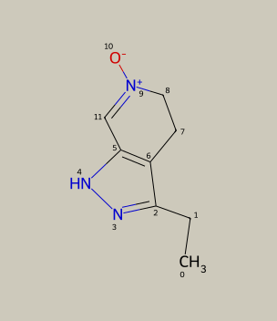 CCc1n[nH]c2c1CC[N+]([O-])=C2